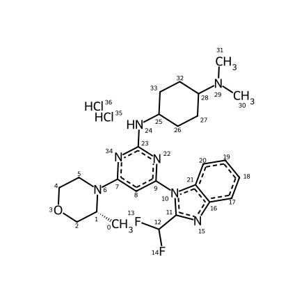 C[C@@H]1COCCN1c1cc(-n2c(C(F)F)nc3ccccc32)nc(NC2CCC(N(C)C)CC2)n1.Cl.Cl